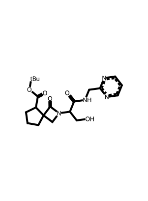 CC(C)(C)OC(=O)C1CCCC12CN(C(CO)C(=O)NCc1ncccn1)C2=O